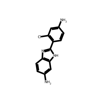 Nc1ccc(-c2nc3ccc(N)cc3[nH]2)c(Cl)c1